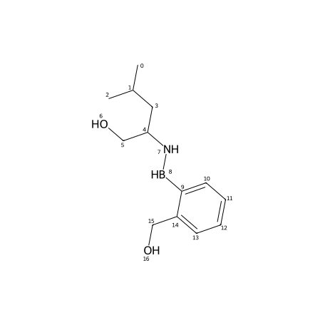 CC(C)CC(CO)NBc1ccccc1CO